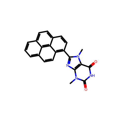 Cn1c(-c2ccc3ccc4cccc5ccc2c3c45)nc2c1c(=O)[nH]c(=O)n2C